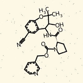 CC1(C)Oc2ccc(C#N)cc2C(NC(=O)[C@@H]2CCCN2C(=O)OCc2cccnc2)C1O